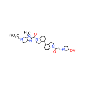 Cn1c(C(=O)N2CCc3c(-c4cccc5c4CCN5C(=O)CCN4CCC(O)C4)cccc32)nc2c1CN(CC(=O)O)CC2